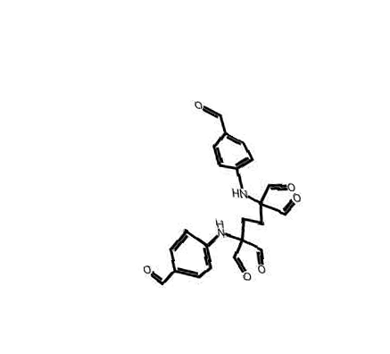 O=Cc1ccc(NC(C=O)(C=O)CCC(C=O)(C=O)Nc2ccc(C=O)cc2)cc1